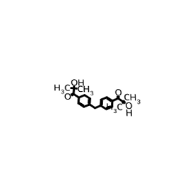 CC(C)(O)C(=O)c1ccc(CC2=CCC(C(=O)C(C)(C)O)C=C2)cc1